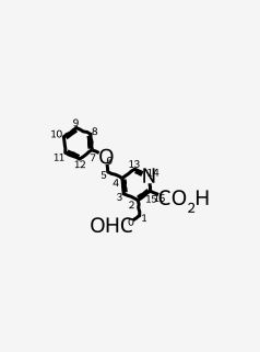 O=CCc1cc(COc2ccccc2)cnc1C(=O)O